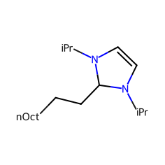 CCCCCCCCCCC1N(C(C)C)C=CN1C(C)C